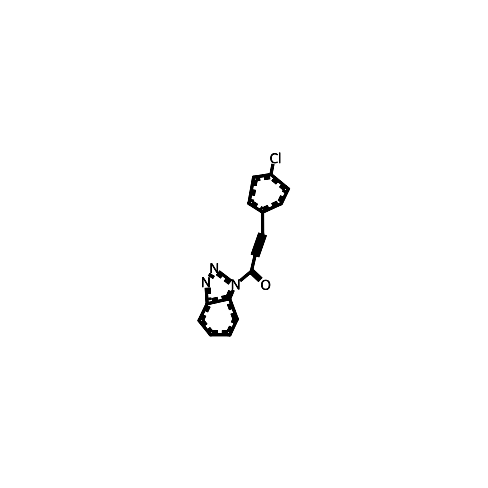 O=C(C#Cc1ccc(Cl)cc1)n1nnc2ccccc21